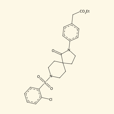 CCOC(=O)Cc1ccc(N2CCC3(CCN(S(=O)(=O)c4ccccc4Cl)CC3)C2=O)cc1